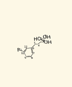 O[Si](O)(O)CCc1cccc(F)c1